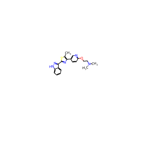 Cc1sc(-c2n[nH]c3ccccc23)nc1-c1ccc(OCCN(C)C)nc1